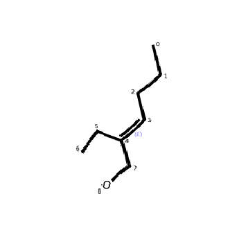 CCC/C=C(\CC)C[O]